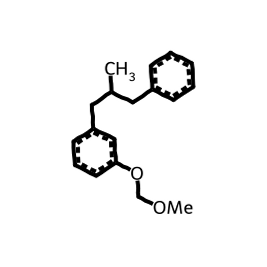 COCOc1cccc(CC(C)Cc2ccccc2)c1